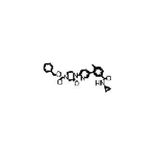 Cc1ccc(C(=O)NC2CC2)cc1-c1ccc(N2CCN(C(=O)OCc3ccccc3)CC2=O)nc1